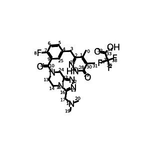 Cc1c(Cc2ccc(F)c(C(=O)N3CCn4c(CN(C)C)nnc4C3)c2)n[nH]c(=O)c1C.O=C(O)C(F)(F)F